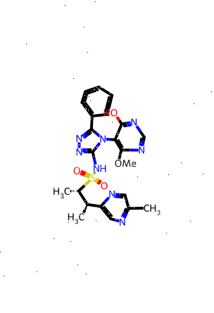 COc1ncnc(O)c1-n1c(NS(=O)(=O)[C@@H](C)[C@H](C)c2cnc(C)cn2)nnc1C1=C=C=CC=C1